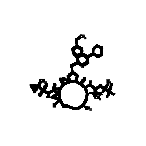 CC[C@@H]1C[C@H](C)CC/C=C/[C@@H]2C[C@@]2(C(=O)NS(=O)(=O)C2(C)CC2)NC(=O)[C@@H]2C[C@@H](Oc3ncc(N4CCOCC4)c4cc(OC)ccc34)CN2C(=O)[C@H]1NC(=O)OC(C)(C)C(F)(F)F